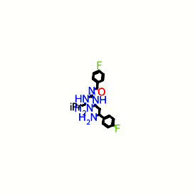 CC(C)CN/C(=N/C(=O)c1ccc(F)cc1)NC(N)CC(N)c1ccc(F)cc1